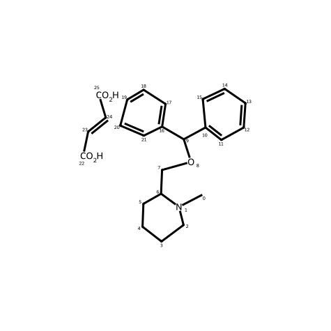 CN1CCCCC1COC(c1ccccc1)c1ccccc1.O=C(O)/C=C/C(=O)O